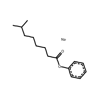 CC(C)CCCCCC(=O)Oc1ccccc1.[Na]